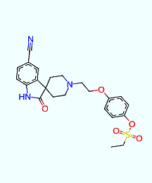 CCS(=O)(=O)Oc1ccc(OCCN2CCC3(CC2)C(=O)Nc2ccc(C#N)cc23)cc1